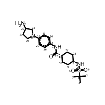 CC(C)(C)S(=O)(=O)N[C@H]1CC[C@H](C(=O)Nc2ccc(N3CCC(N)C3)cc2)CC1